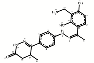 CC(=NNc1ccc(C2=NNC(=O)CC2C)cc1)c1ccc(O)c(CN)c1O